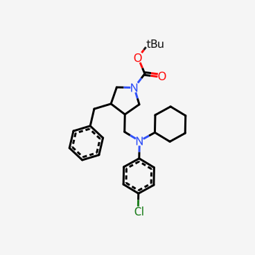 CC(C)(C)OC(=O)N1CC(Cc2ccccc2)C(CN(c2ccc(Cl)cc2)C2CCCCC2)C1